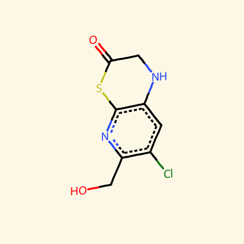 O=C1CNc2cc(Cl)c(CO)nc2S1